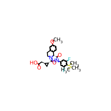 COc1ccc2c(c1)CCN(C(=O)[C@@H]1C[C@H]1CC(=O)O)[C@H]2C(=O)Nc1cc(F)c(S(C)(C)C)c(F)c1